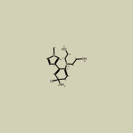 Cn1ccc(C2=CC(N)(Cl)CC=C2N(CCO)CCO)c1